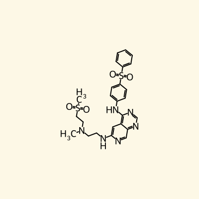 CN(CCNc1cc2c(Nc3ccc(S(=O)(=O)c4ccccc4)cc3)ncnc2cn1)CCS(C)(=O)=O